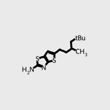 CC(CCc1cc2sc(N)nc2s1)CC(C)(C)C